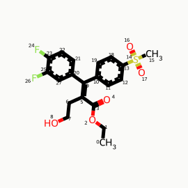 CCOC(=O)C(CCO)=C(c1ccc(S(C)(=O)=O)cc1)c1ccc(F)c(F)c1